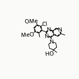 COc1cc(OC)c(Cl)c(-c2nc(N3CCC(C)(O)CC3)c3cc(C)ncc3n2)c1C